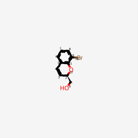 OC[C@H]1C=Cc2cccc(Br)c2O1